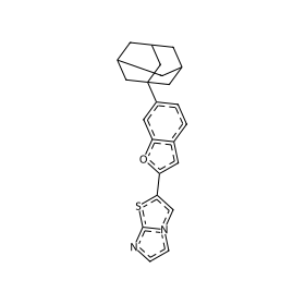 c1cn2cc(-c3cc4ccc(C56CC7CC(CC(C7)C5)C6)cc4o3)sc2n1